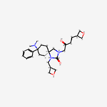 CN(C)[C@]1(c2ccccc2)CC[C@]2(CC1)CN(CC(=O)CCC1COC1)C(=O)N2CC1COC1